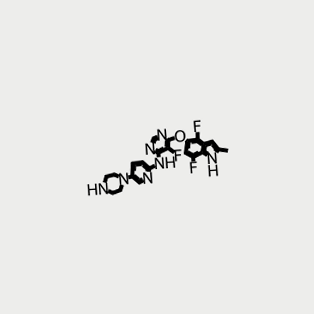 Cc1cc2c(F)c(Oc3ncnc(Nc4ccc(N5CCNCC5)cn4)c3F)cc(F)c2[nH]1